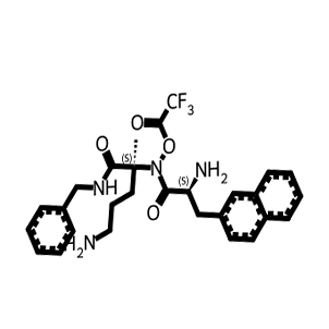 C[C@](CCCN)(C(=O)NCc1ccccc1)N(OC(=O)C(F)(F)F)C(=O)[C@@H](N)Cc1ccc2ccccc2c1